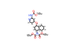 CC(C)(C)OC(=O)Nc1cc(Oc2ccc(N(C(=O)OC(C)(C)C)C(=O)OC(C)(C)C)c3ccccc23)ccn1